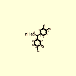 CCCCCCC(c1ccc(C)c(C)c1)c1ccc(C)c(C)c1